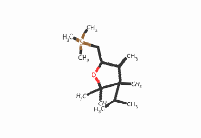 CC(C)C1(C)C(C)C(CS(C)(C)C)OC1(C)C